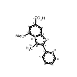 COc1cc(C(=O)O)cc2nc(-c3ccccn3)c(C)n12